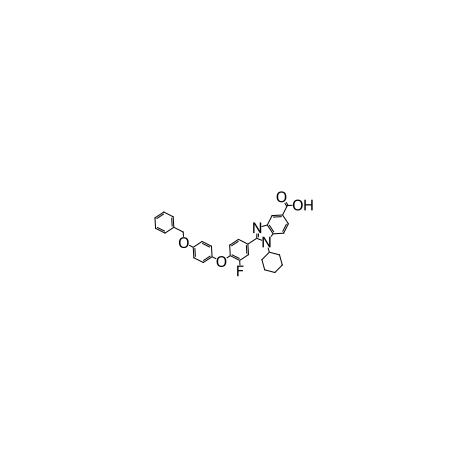 O=C(O)c1ccc2c(c1)nc(-c1ccc(Oc3ccc(OCc4ccccc4)cc3)c(F)c1)n2C1CCCCC1